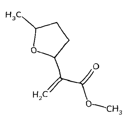 C=C(C(=O)OC)C1CCC(C)O1